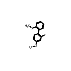 COc1ccc(-c2[c]cccc2SC)c(F)c1